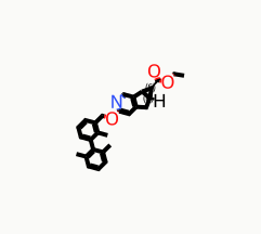 CCOC(=O)[C@@H]1C2c3cnc(OCc4cccc(-c5c(C)cccc5C)c4C)cc3C[C@H]21